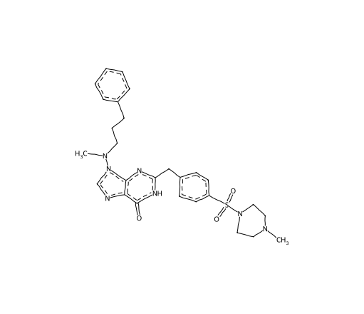 CN1CCN(S(=O)(=O)c2ccc(Cc3nc4c(ncn4N(C)CCCc4ccccc4)c(=O)[nH]3)cc2)CC1